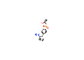 CCC(=O)CS(=O)(=O)c1ccc(CC(N)C(=O)O)cc1